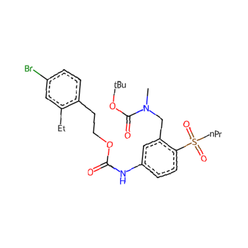 CCCS(=O)(=O)c1ccc(NC(=O)OCCc2ccc(Br)cc2CC)cc1CN(C)C(=O)OC(C)(C)C